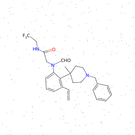 C=Cc1cccc(N(C=O)CC(=O)NCC(F)(F)F)c1C1(C)CCN(Cc2ccccc2)CC1